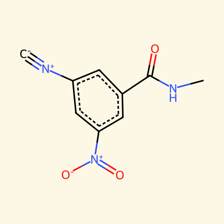 [C-]#[N+]c1cc(C(=O)NC)cc([N+](=O)[O-])c1